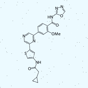 COc1cc(-c2cncc(-c3cc(NC(=O)CC4CC4)cs3)n2)ccc1C(=O)Nc1nnco1